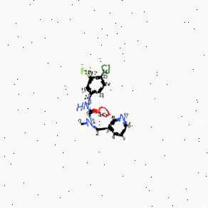 CN(Cc1cccnc1)C(=O)Nc1ccc(Cl)c(F)c1